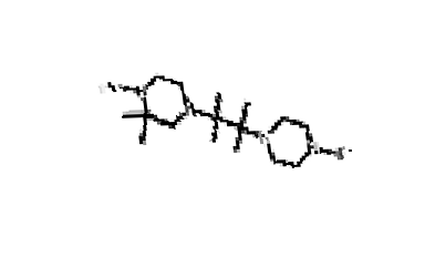 CC(C)N1CCN(C(C)(C)C(C)(C)N2CCN(C(C)C)C(C)(C)C2)CC1